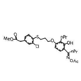 CCC/C(=N\OC(C)=O)c1ccc(OCCCSc2ccc(CC(=O)OC)cc2Cl)c(CCC)c1O